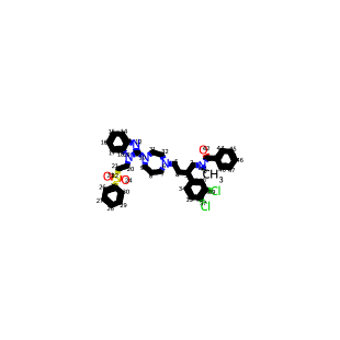 CN(CC(CCN1CCCN(c2nc3ccccc3n2CCS(=O)(=O)c2ccccc2)CC1)c1ccc(Cl)c(Cl)c1)C(=O)c1ccccc1